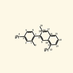 Cc1cc(C(C)C)ccc1-c1cc2c(C(C)C)cccc2c[n+]1C